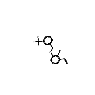 O=Cc1cccc(OCc2cccc(C(F)(F)F)c2)c1F